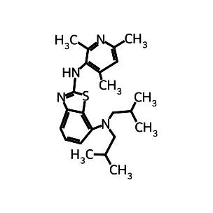 Cc1cc(C)c(Nc2nc3cccc(N(CC(C)C)CC(C)C)c3s2)c(C)n1